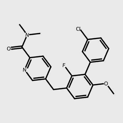 COc1ccc(Cc2ccc(C(=O)N(C)C)nc2)c(F)c1-c1cccc(Cl)c1